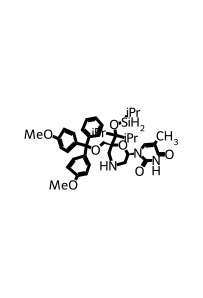 COc1ccc(C(OC[C@]2(C(O[SiH2]C(C)C)(C(C)C)C(C)C)CNC[C@H](n3cc(C)c(=O)[nH]c3=O)O2)(c2ccccc2)c2ccc(OC)cc2)cc1